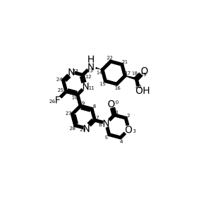 O=C1COCCN1c1cc(-c2nc(N[C@H]3CC[C@H](C(=O)O)CC3)ncc2F)ccn1